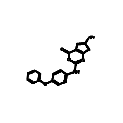 CCCc1cc2c(=O)oc(Nc3ccc(Oc4ccccc4)cc3)nc2s1